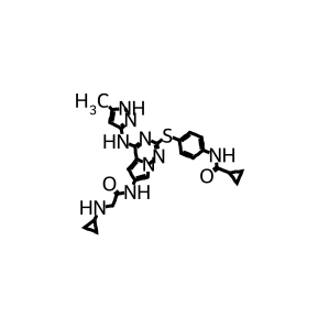 Cc1cc(Nc2nc(Sc3ccc(NC(=O)C4CC4)cc3)nn3cc(NC(=O)CNC4CC4)cc23)n[nH]1